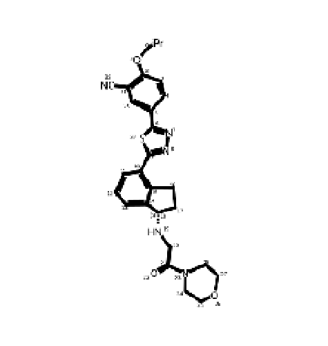 CC(C)Oc1ccc(-c2nnc(-c3cccc4c3CC[C@@H]4NCC(=O)N3CCOCC3)s2)cc1C#N